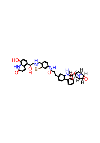 C[N+]1(C)[C@@H]2CC(OC(=O)Nc3cc(CCC(=O)Nc4ccc(CNC[C@H](O)c5ccc(O)c6[nH]c(=O)ccc56)c(Br)c4)ccc3-c3ccccc3)C[C@H]1[C@@H]1O[C@@H]12